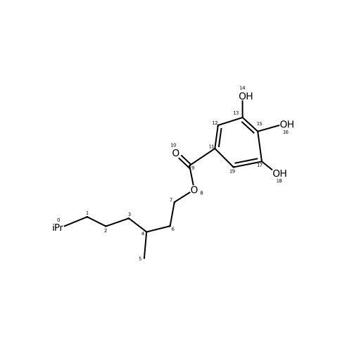 CC(C)CCCC(C)CCOC(=O)c1cc(O)c(O)c(O)c1